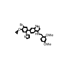 COc1ccc(CNc2cnnc3cc(-c4cc(Br)c(OC5CC5)cc4-n4cccn4)ccc23)c(OC)c1